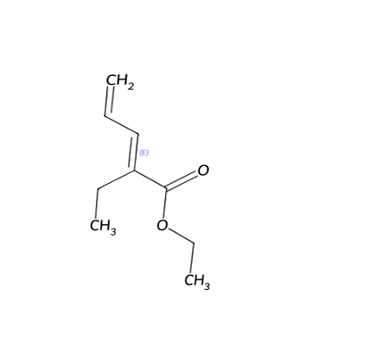 C=C/C=C(\CC)C(=O)OCC